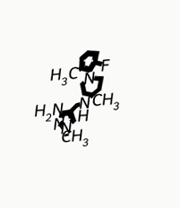 Cc1cccc(F)c1N1CCC(C)(NCc2cn(C)nc2N)CC1